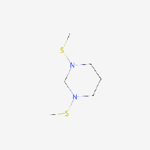 CSN1CCCN(SC)C1